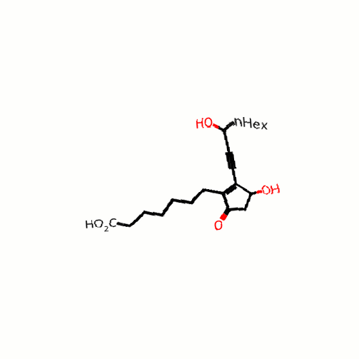 CCCCCCC(O)C#CC1=C(CCCCCCC(=O)O)C(=O)CC1O